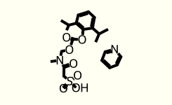 CC(C)c1cccc(C(C)C)c1OC(=O)OCN(C)C(=O)CS(=O)(=O)O.c1ccncc1